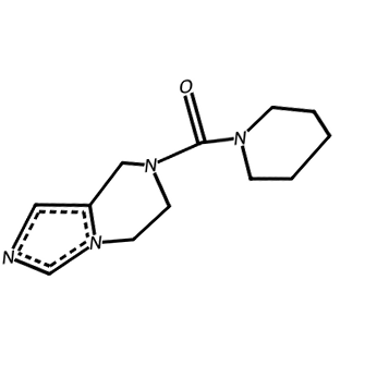 O=C(N1CCCCC1)N1CCn2cncc2C1